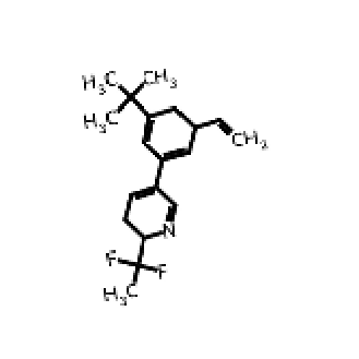 C=CC1C=C(C2=CCC(C(C)(F)F)N=C2)C=C(C(C)(C)C)C1